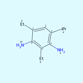 CCc1cc(C(C)C)c(N)c(CC)c1N